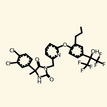 CCCc1cc(C(O)(C(F)(F)F)C(F)(F)F)ccc1Oc1cccc(CN2C(=O)NC(C)(c3ccc(Cl)c(Cl)c3)C2=O)n1